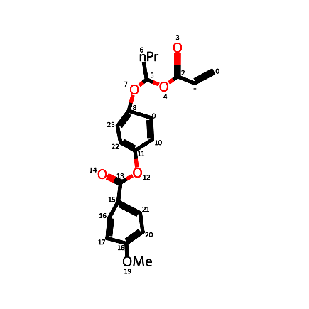 C=CC(=O)OC(CCC)Oc1ccc(OC(=O)c2ccc(OC)cc2)cc1